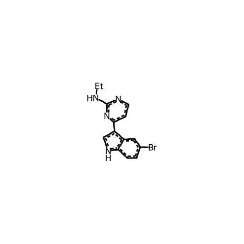 CCNc1nccc(-c2c[nH]c3ccc(Br)cc23)n1